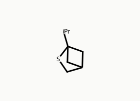 CC(C)C12CC(CS1)C2